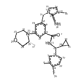 Cc1cc(C(NC(=O)c2cc(Cn3ccn(C)c3=N)cc(N3CCOC[C@H]3C)c2)C2CC2)ccc1F